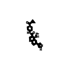 CC(C)Nc1c(C(=O)NC2CCN(C(=O)C3CC3)CC2)cnc2ccc(-c3cn[nH]c3)cc12